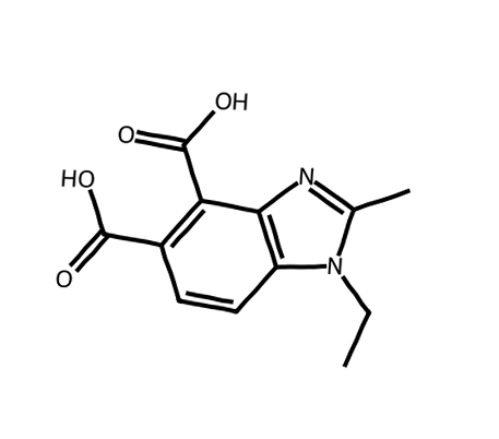 CCn1c(C)nc2c(C(=O)O)c(C(=O)O)ccc21